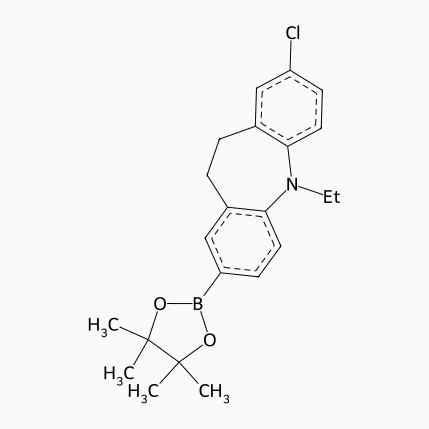 CCN1c2ccc(Cl)cc2CCc2cc(B3OC(C)(C)C(C)(C)O3)ccc21